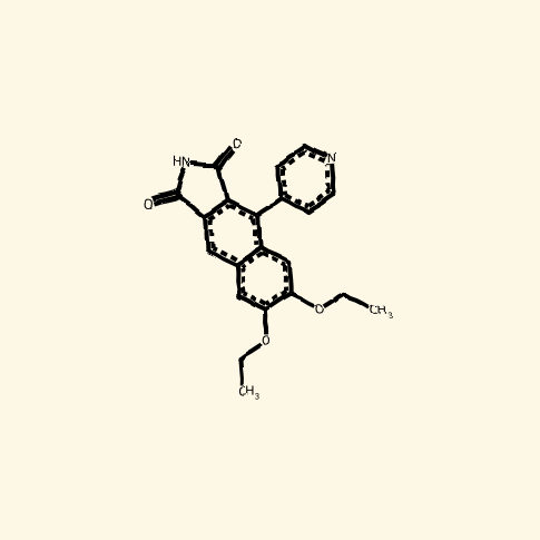 CCOc1cc2cc3c(c(-c4ccncc4)c2cc1OCC)C(=O)NC3=O